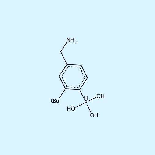 CC(C)(C)c1cc(CN)ccc1[PH](O)(O)O